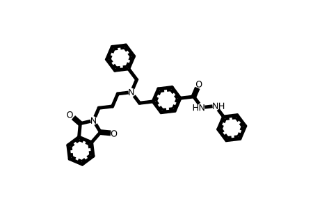 O=C(NNc1ccccc1)c1ccc(CN(CCCN2C(=O)c3ccccc3C2=O)Cc2ccccc2)cc1